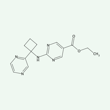 CCOC(=O)c1cnc(NC2(c3cnccn3)CCC2)nc1